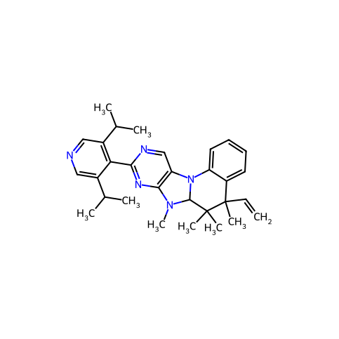 C=CC1(C)c2ccccc2N2c3cnc(-c4c(C(C)C)cncc4C(C)C)nc3N(C)C2C1(C)C